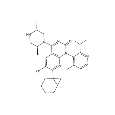 Cc1ccnc(C(C)C)c1-n1c(=O)nc(N2C[C@@H](C)NC[C@@H]2C)c2cc(Cl)c(C34CCCCC3C4)nc21